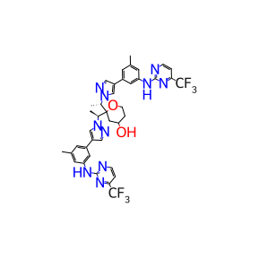 Cc1cc(Nc2nccc(C(F)(F)F)n2)cc(-c2cnn([C@@H](C)C3([C@H](C)n4cc(-c5cc(C)cc(Nc6nccc(C(F)(F)F)n6)c5)cn4)CC(O)CCO3)c2)c1